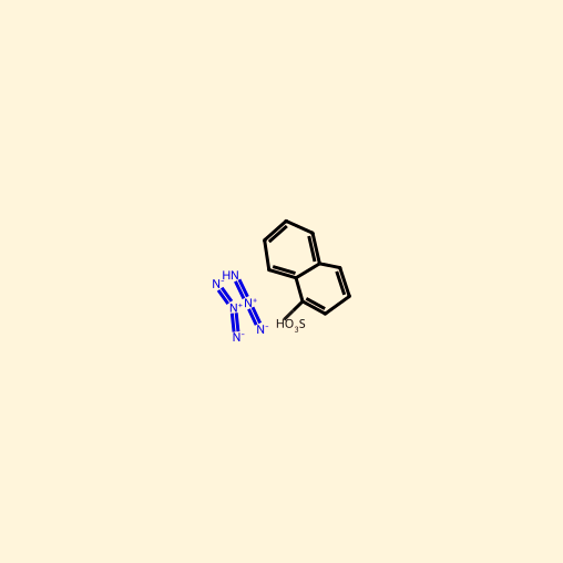 O=S(=O)(O)c1cccc2ccccc12.[N-]=[N+]=N.[N-]=[N+]=[N-]